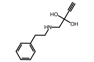 C#CC(O)(O)CNCCc1ccccc1